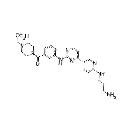 NCCCNc1ccc(-c2ccnc(Nc3cccc(C(=O)N4CCN(CC(=O)O)CC4)c3)n2)cn1